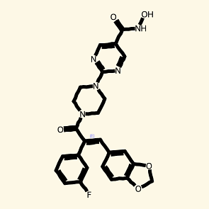 O=C(NO)c1cnc(N2CCN(C(=O)/C(=C/c3ccc4c(c3)OCO4)c3cccc(F)c3)CC2)nc1